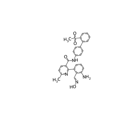 Cc1ccc(C(=O)Nc2ccc(-c3ccccc3S(C)(=O)=O)cc2)c(-c2cccc(N)c2C=NO)n1